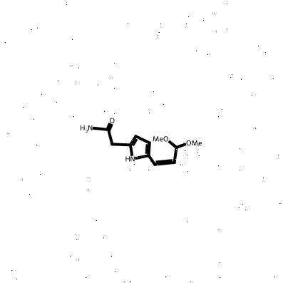 COC(/C=C\c1ccc(CC(N)=O)[nH]1)OC